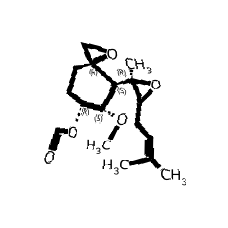 CO[C@@H]1[C@H](OC=O)CC[C@]2(CO2)[C@H]1[C@@]1(C)OC1CC=C(C)C